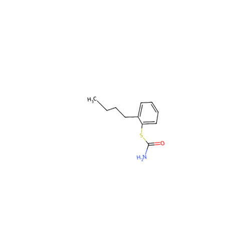 CCCCc1ccccc1SC(N)=O